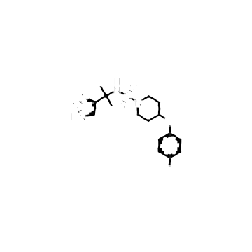 CC(C)(NS(=O)(=O)N1CCC(Oc2ccc(Cl)cc2)CC1)c1c[nH]nn1